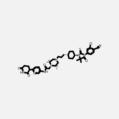 C[C@@H]1CN(CCC[C@H]2CC[C@H](N3C(=S)N(c4ccc(C#N)c(Cl)c4)C(=O)C3(C)C)CC2)C[C@H](C)N1CC(=O)Nc1ccc(C2CCC(=O)NC2=O)nc1